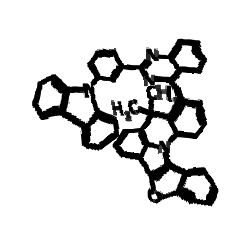 CC1(C)c2c(-c3nc(-c4cccc(-n5c6ccccc6c6ccccc65)c4)nc4ccccc34)cccc2-n2c3c1cccc3c1oc3ccccc3c12